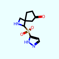 O=C1CCC2(CNC2S(=O)(=O)c2ccn[nH]2)C1